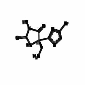 NC[C@@]1(c2nc(Br)cs2)NC(=O)N(S)C1=O